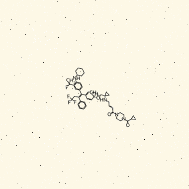 C=C(\C=C/C(=C\C)C(=C(/CC(F)(F)F)c1ccccc1)/c1ccc(NC2CCCCC2)c(C(=C)F)c1)OCC1(NC/C=C/C(=O)N2CCN(C(=O)C3CC3)CC2)CC1